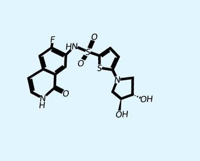 O=c1[nH]ccc2cc(F)c(NS(=O)(=O)c3ccc(N4C[C@H](O)[C@@H](O)C4)s3)cc12